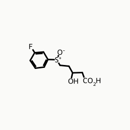 O=C(O)CC(O)CC[S+]([O-])c1cccc(F)c1